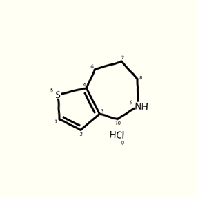 Cl.c1cc2c(s1)CCCNC2